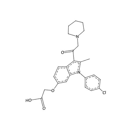 Cc1c(C(=O)CN2CCCCC2)c2ccc(OCC(=O)O)cc2n1-c1ccc(Cl)cc1